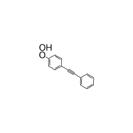 OOc1ccc(C#Cc2ccccc2)cc1